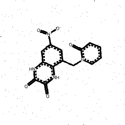 O=c1[nH]c2cc([N+](=O)[O-])cc(Cn3ccccc3=O)c2[nH]c1=O